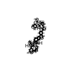 COC(=O)NC(C(=O)N1[C@@H](C)CC[C@H]1c1ncc(-c2ccc3c(c2)COc2cc4c(ccc5nc([C@@H]6CC[C@@H]7C[C@@H]8CC(C[C@@H](C)O8)[C@H](NC(=O)OC)C(=O)N76)[nH]c54)cc2-3)[nH]1)[C@H]1CCO[C@H](C)C1